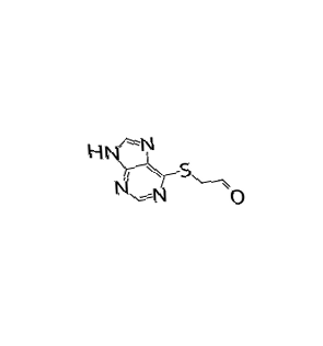 O=CCSc1ncnc2[nH]cnc12